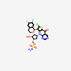 NS(=O)(=O)OC[C@H]1C[C@@H](Nc2ncncc2C(=O)c2cc([C@H]3OCCc4cc(F)c(F)cc43)c(Cl)s2)C[C@@H]1O